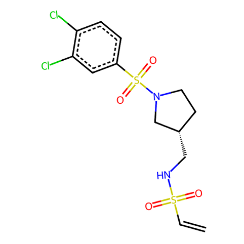 C=CS(=O)(=O)NC[C@H]1CCN(S(=O)(=O)c2ccc(Cl)c(Cl)c2)C1